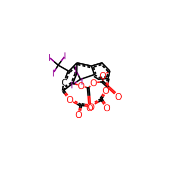 O=C1OC(=O)Oc2cc3c(C(I)(I)I)cc2oc(=O)oc(=O)oc2cc(C(I)(I)I)c3cc2O1